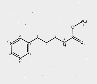 CC(C)(C)OC(=O)NCCCc1cncnc1